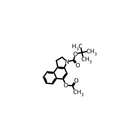 CC(=O)Oc1cc2c(c3ccccc13)CCN2C(=O)OC(C)(C)C